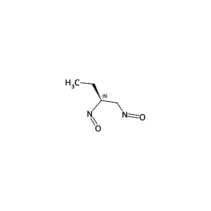 CC[C@@H](CN=O)N=O